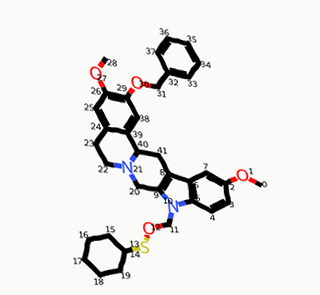 COc1ccc2c(c1)c1c(n2COSC2CCCCC2)CN2CCc3cc(OC)c(OCc4ccccc4)cc3C2C1